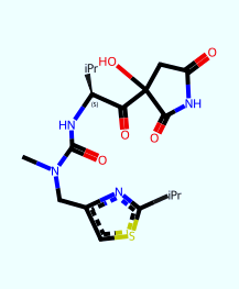 CC(C)c1nc(CN(C)C(=O)N[C@H](C(=O)C2(O)CC(=O)NC2=O)C(C)C)cs1